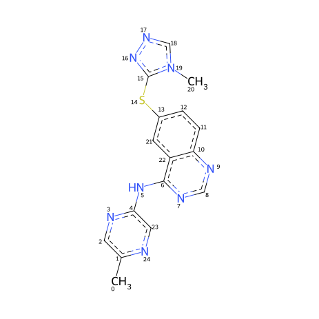 Cc1cnc(Nc2ncnc3ccc(Sc4nncn4C)cc23)cn1